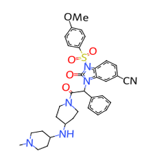 COc1ccc(S(=O)(=O)n2c(=O)n(C(C(=O)N3CCC(NC4CCN(C)CC4)CC3)c3ccccc3)c3cc(C#N)ccc32)cc1